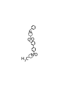 CC1CCN(C(=O)c2ccc(-c3ccc4c(c3)COC(C3CCN(Cc5ccccc5)CC3)O4)cc2)CC1